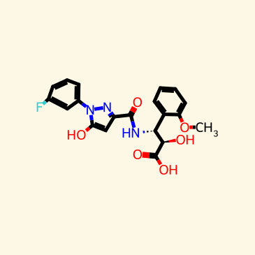 COc1ccccc1[C@@H](NC(=O)c1cc(O)n(-c2cccc(F)c2)n1)[C@@H](O)C(=O)O